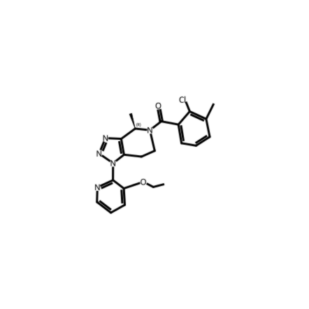 CCOc1cccnc1-n1nnc2c1CCN(C(=O)c1cccc(C)c1Cl)[C@@H]2C